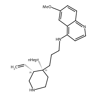 C=C[C@H]1CNCC[C@]1(CCCCCCC)CCCNc1ccnc2ccc(OC)cc12